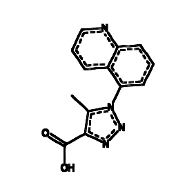 Cc1c(C(=O)O)nnn1-c1cccc2ncccc12